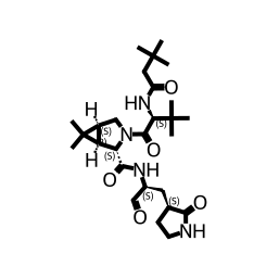 CC(C)(C)CC(=O)N[C@H](C(=O)N1C[C@H]2[C@@H]([C@H]1C(=O)N[C@H](C=O)C[C@@H]1CCNC1=O)C2(C)C)C(C)(C)C